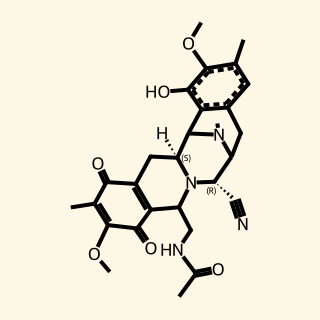 COC1=C(C)C(=O)C2=C(C1=O)C(CNC(C)=O)N1[C@@H](C#N)C3Cc4cc(C)c(OC)c(O)c4C([C@@H]1C2)N3C